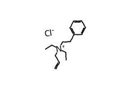 C=CC[N+](CC)(CC)CCc1ccccc1.[Cl-]